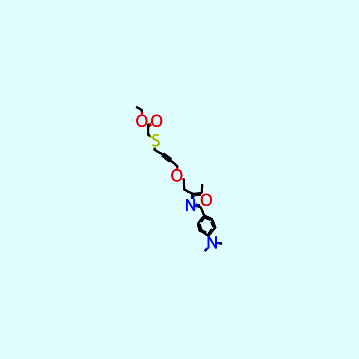 CCOC(=O)CSCC#CCOCCc1nc(-c2ccc(N(C)C)cc2)oc1C